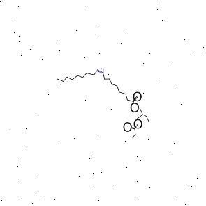 CCCCCCCC/C=C\CCCCCCCC(=O)OCC(CC)COC(=O)CC